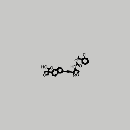 CC(OC(=O)Nc1conc1C#Cc1ccc2cc(C3(C(=O)O)COC3)ccc2c1)c1ccccc1Cl